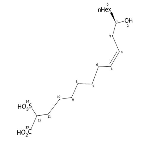 CCCCCC[C@@H](O)C/C=C\CCCCCCC(C(=O)O)S(=O)(=O)O